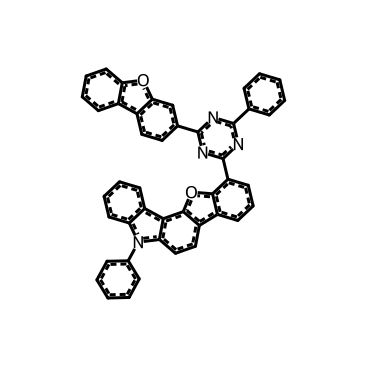 c1ccc(-c2nc(-c3ccc4c(c3)oc3ccccc34)nc(-c3cccc4c3oc3c4ccc4c3c3ccccc3n4-c3ccccc3)n2)cc1